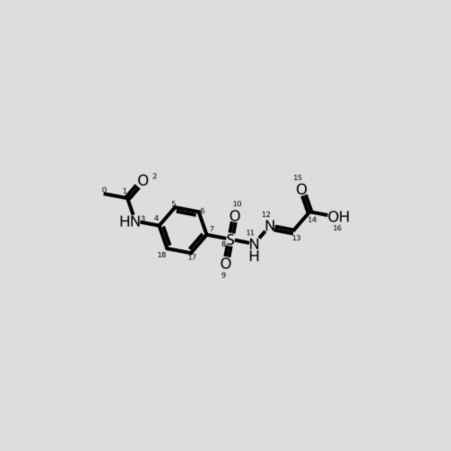 CC(=O)Nc1ccc(S(=O)(=O)NN=CC(=O)O)cc1